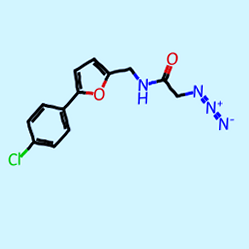 [N-]=[N+]=NCC(=O)NCc1ccc(-c2ccc(Cl)cc2)o1